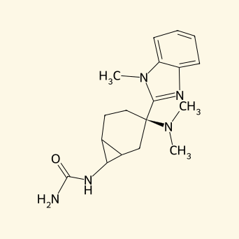 CN(C)[C@]1(c2nc3ccccc3n2C)CCC2C(C1)C2NC(N)=O